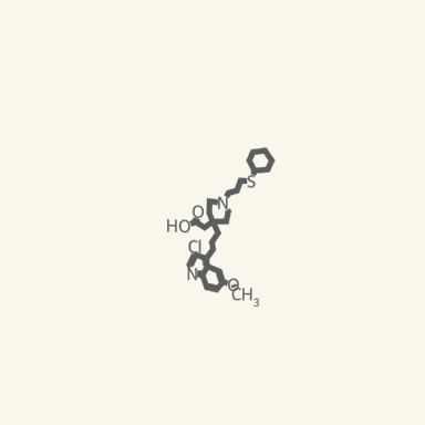 COc1ccc2ncc(Cl)c(CCCC3(CC(=O)O)CCN(CCCSC4CCCCC4)CC3)c2c1